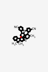 CC1Cc2sc3cc4c(cc3c2C=C1c1cc(C#N)ccc1N1c2ccc(C#N)cc2C2C=CC=CC21)-c1ccccc1C4(C)C